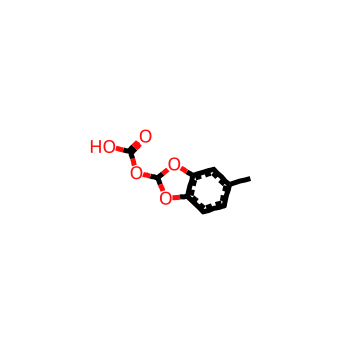 Cc1ccc2c(c1)OC(OC(=O)O)O2